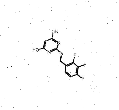 Oc1cc(O)nc(SCc2ccc(F)c(F)c2F)n1